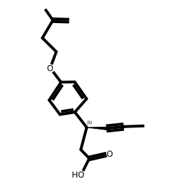 C=C(C)CCOc1ccc([C@@H](C#CC)CC(=O)O)cc1